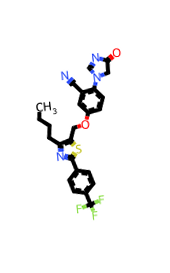 CCCCc1nc(-c2ccc(C(F)(F)F)cc2)sc1COc1ccc(N2C=NC(=O)C2)c(C#N)c1